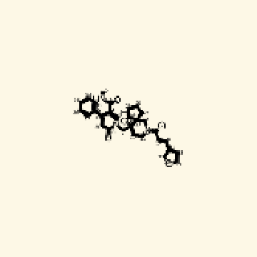 CNC(=O)c1cn(CC2(O)CCN(C(=O)CCC3CCOC3)CC23CCCC3)c(=O)cc1-c1ccccc1